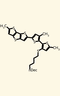 CCCCCCCCCCCCCCSc1cc(C)sc1-c1sc(-c2cc3sc4cc(C)sc4c3s2)cc1C